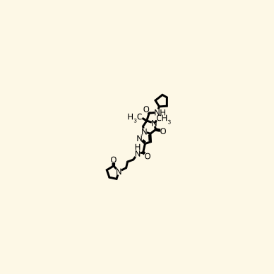 CN1C(=O)c2cc(C(=O)NCCCN3CCCC3=O)nn2CC1(C)C(=O)NC1CCCC1